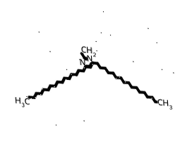 [CH2]Cc1nc(CCCCCCCCCCCCCCCCC)cc(CCCCCCCCCCCCCCCCC)n1